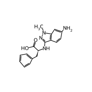 Cn1nc(N[C@@H](Cc2ccccc2)C(=O)O)c2ccc(N)cc21